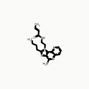 CC=CC(=O)NCCn1c(CCCC)nc2c(N)nc3cccnc3c21